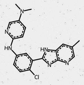 Cc1cnc2nc(-c3cc(Nc4ccc(N(C)C)cn4)ccc3Cl)[nH]c2c1